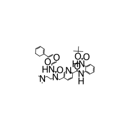 CN(C)CCN(Cc1ccc(C(=O)Nc2ccccc2NC(=O)OC(C)(C)C)nc1)C(=O)NC1=COC=C(C2=CC=CCC2)O1